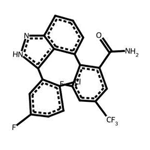 NC(=O)c1cc(C(F)(F)F)cc(F)c1-c1cccc2n[nH]c(-c3cc(F)ccc3Cl)c12